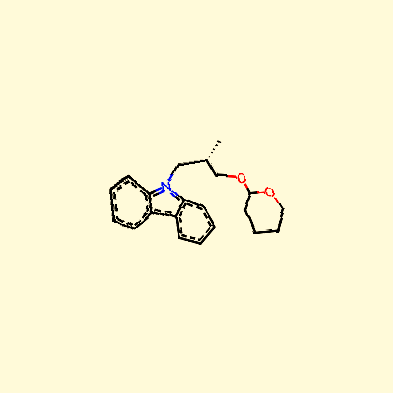 C[C@H](COC1CCCCO1)Cn1c2ccccc2c2ccccc21